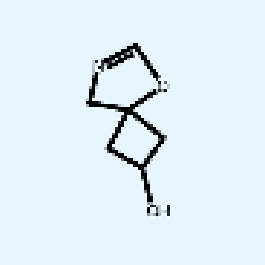 OC1CC2(CN=CO2)C1